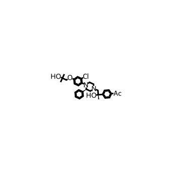 CC(=O)c1ccc([C@](C)(O)CN2CCN(c3ccc(OCC(C)(C)O)cc3Cl)[C@H](c3ccccc3)C2)cc1